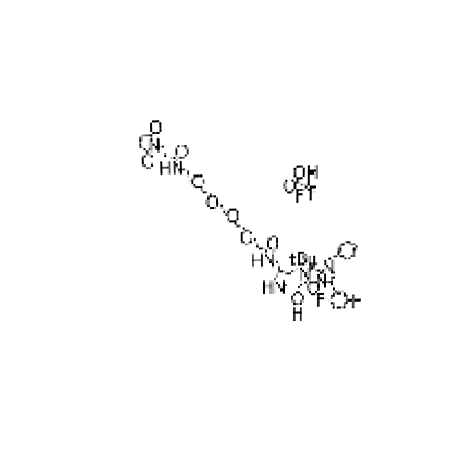 CC(C)(C)[C@H](c1nc(-c2cc(F)ccc2F)cn1Cc1ccccc1)N(CC1CNCC1CNC(=O)CCOCCOCCOCCOCCNC(=O)CCN1C(=O)C=CC1=O)C(=O)CO.O=C(O)C(F)(F)F